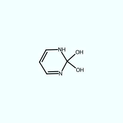 OC1(O)N=CC=CN1